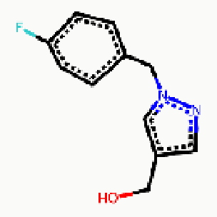 OCc1cnn(Cc2ccc(F)cc2)c1